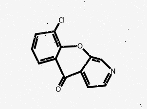 O=c1c2ccncc2oc2c(Cl)cccc12